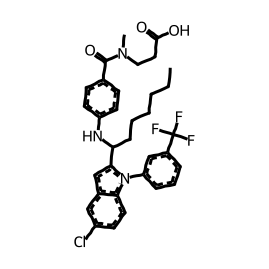 CCCCCCC(Nc1ccc(C(=O)N(C)CCC(=O)O)cc1)c1cc2cc(Cl)ccc2n1-c1cccc(C(F)(F)F)c1